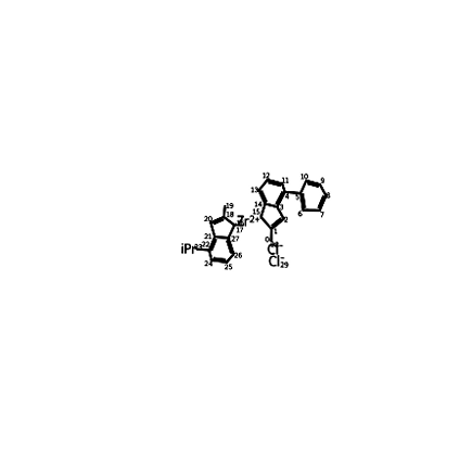 CC1=Cc2c(-c3ccccc3)cccc2[CH]1[Zr+2][CH]1C(C)=Cc2c(C(C)C)cccc21.[Cl-].[Cl-]